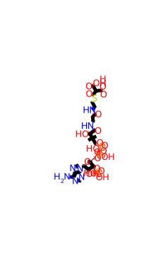 CC(C)(COP(=O)(O)OP(=O)(O)OC[C@H]1O[C@@H](n2cnc3c(N)ncnc32)[C@H](O)[C@@H]1OP(=O)(O)O)[C@@H](O)C(=O)NCCC(=O)NCCSC(=O)C(C(=O)O)C(=O)O